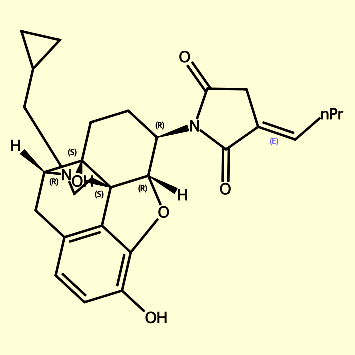 CCC/C=C1\CC(=O)N([C@@H]2CC[C@@]3(O)[C@H]4Cc5ccc(O)c6c5[C@@]3(CCN4CC3CC3)[C@H]2O6)C1=O